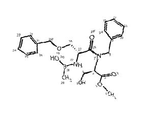 COC(=O)[C@@H](CO)N(Cc1ccccc1)C(=O)[C@@H](COCc1ccccc1)NB(C)O